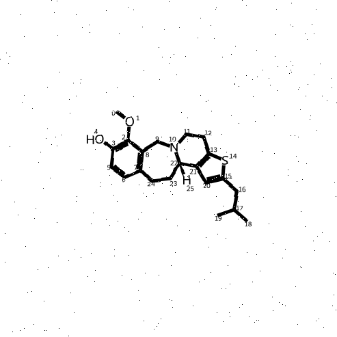 COc1c(O)ccc2c1CN1CCc3sc(CC(C)C)cc3[C@@H]1CC2